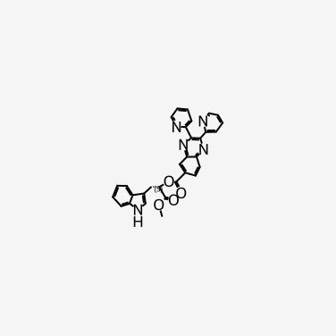 COC(=O)[C@H](Cc1c[nH]c2ccccc12)OC(=O)c1ccc2nc(-c3ccccn3)c(-c3ccccn3)nc2c1